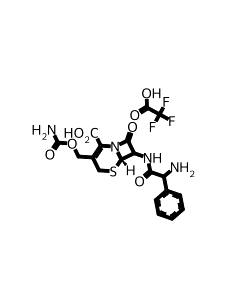 NC(=O)OCC1=C(C(=O)O)N2C(=O)C(NC(=O)C(N)c3ccccc3)[C@@H]2SC1.O=C(O)C(F)(F)F